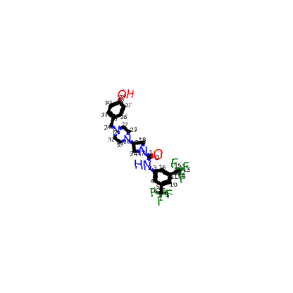 O=C(Nc1cc(C(F)(F)F)cc(C(F)(F)F)c1)N1CC(N2CCN(Cc3ccc(O)cc3)CC2)C1